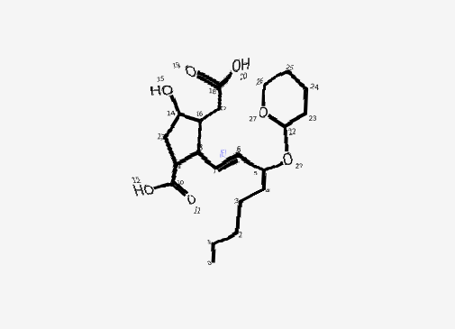 CCCCCC(/C=C/C1C(C(=O)O)CC(O)C1CC(=O)O)OC1CCCCO1